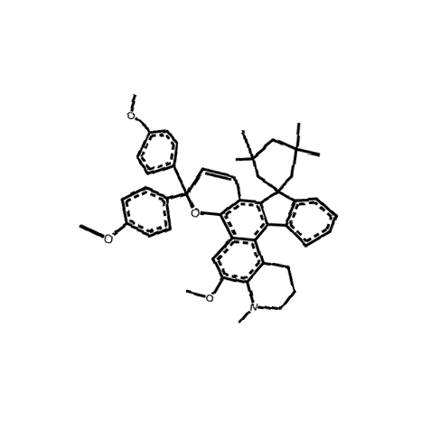 COc1ccc(C2(c3ccc(OC)cc3)C=Cc3c4c(c5c6c(c(OC)cc5c3O2)N(C)CCC6)-c2ccccc2C42CC(C)(C)CC(C)(C)C2)cc1